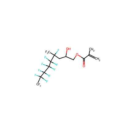 C=C(C)C(=O)OCC(O)CC(F)(C(F)(F)F)C(F)(F)C(F)(F)C(F)(F)C(F)(F)C(F)(F)F